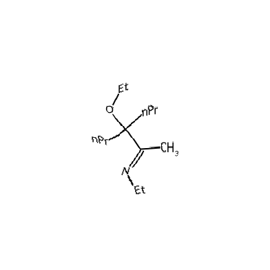 CCCC(CCC)(OCC)C(C)=NCC